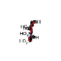 O=S(=O)(O)c1cc(/N=N/c2ccc(/C=C/c3ccc(-n4nc5cc(SOOO)c6ccccc6c5n4)cc3S(=O)(=O)O)c(SOOO)c2)ccc1/C=C/c1ccc(-n2nc3cc(S(=O)(=O)O)c4ccccc4c3n2)cc1SOOO